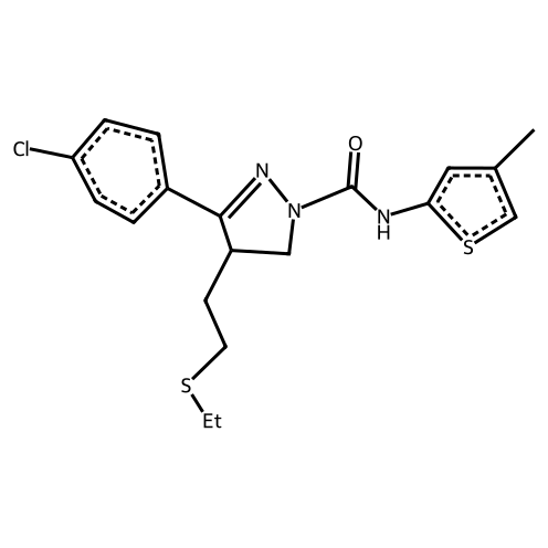 CCSCCC1CN(C(=O)Nc2cc(C)cs2)N=C1c1ccc(Cl)cc1